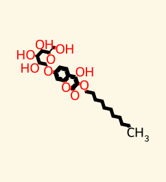 CCCCCCCCCCCOc1c(O)c2ccc(O[C@@H]3O[C@H](CO)[C@H](O)[C@H](O)[C@H]3O)cc2oc1=O